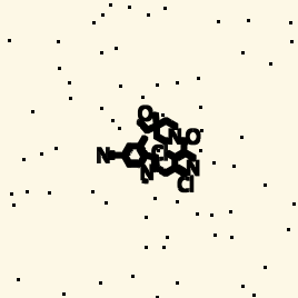 Cc1cc(C#N)cc2c1cc(Cc1c(Cl)ncc(C(=O)N3CCC4(CCOC4)CC3)c1Cl)n2C